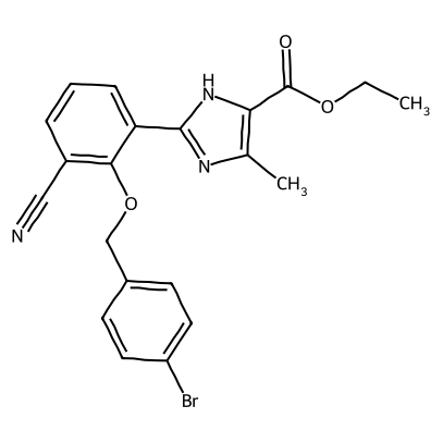 CCOC(=O)c1[nH]c(-c2cccc(C#N)c2OCc2ccc(Br)cc2)nc1C